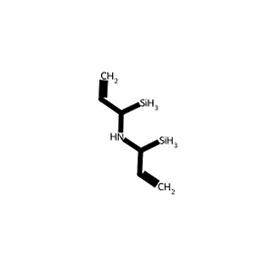 C=CC([SiH3])NC([SiH3])C=C